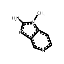 Cn1c(N)nc2cnccc21